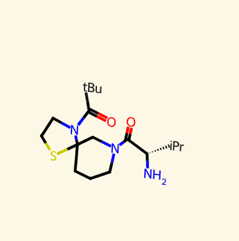 CC(C)[C@H](N)C(=O)N1CCCC2(C1)SCCN2C(=O)C(C)(C)C